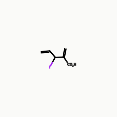 C=CC(I)C(=C)C(=O)O